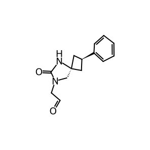 O=CCN1C[C@]2(C[C@H](c3ccccc3)C2)NC1=O